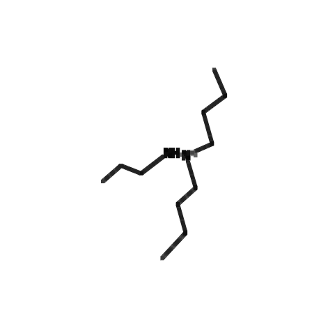 CCCC[N+](CCCC)NCCC